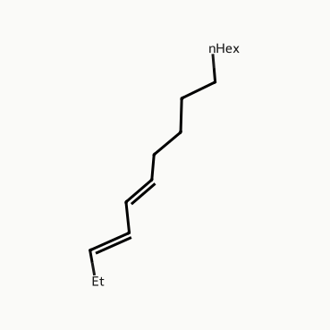 CCC=CC=CCCCCCCCCCC